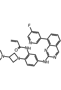 C=CC(=O)Nc1cc(Nc2ncc3cccc(-c4cncc(F)c4)c3n2)ccc1N1CC(N(C)C)C1